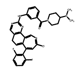 CN(C)C1CCN(C(=O)c2cccc(Nc3ncc4c(n3)C3=CN=C(Cl)C=C(c5c(F)cccc5F)C3=CC4)c2)CC1